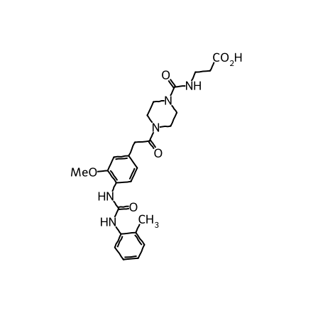 COc1cc(CC(=O)N2CCN(C(=O)NCCC(=O)O)CC2)ccc1NC(=O)Nc1ccccc1C